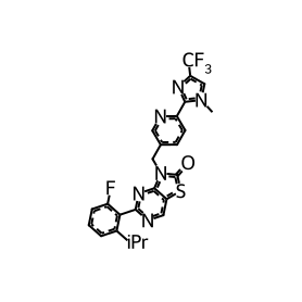 CC(C)c1cccc(F)c1-c1ncc2sc(=O)n(Cc3ccc(-c4nc(C(F)(F)F)cn4C)nc3)c2n1